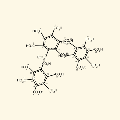 CCOC(=O)c1c(C(=O)O)c(C(=O)O)c(C(=O)O)c(C(=O)O)c1C(=O)O.CCOC(=O)c1c(C(=O)O)c(C(=O)O)c(C(=O)O)c(C(=O)O)c1C(=O)O.CCOC(=O)c1c(C(=O)O)c(C(=O)O)c(C(=O)O)c(C(=O)O)c1C(=O)O